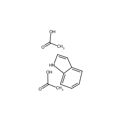 CC(=O)O.CC(=O)O.c1ccc2[nH]ccc2c1